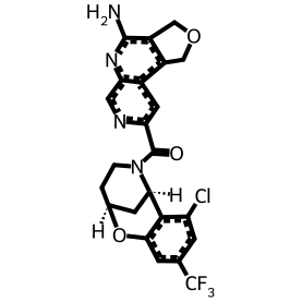 Nc1nc2cnc(C(=O)N3CC[C@H]4C[C@@H]3c3c(Cl)cc(C(F)(F)F)cc3O4)cc2c2c1COC2